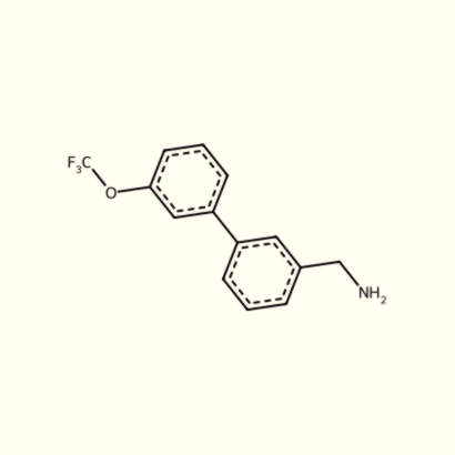 NCc1cccc(-c2cccc(OC(F)(F)F)c2)c1